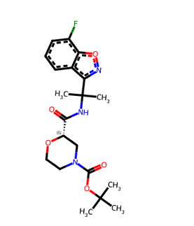 CC(C)(C)OC(=O)N1CCO[C@H](C(=O)NC(C)(C)c2noc3c(F)cccc23)C1